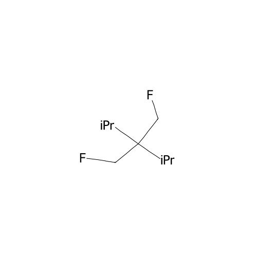 CC(C)C(CF)(CF)C(C)C